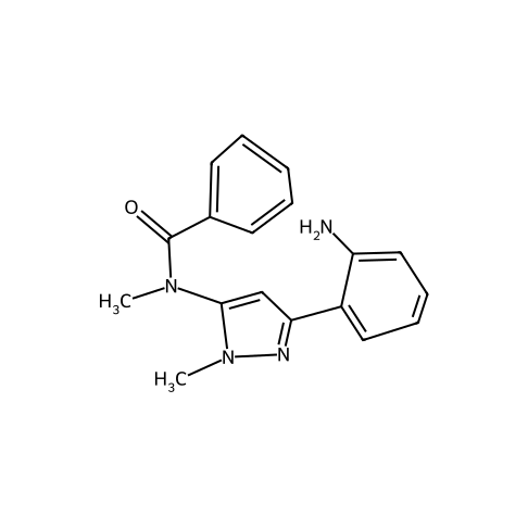 CN(C(=O)c1ccccc1)c1cc(-c2ccccc2N)nn1C